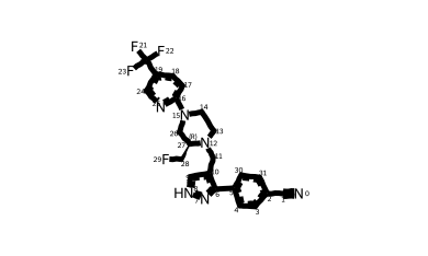 N#Cc1ccc(-c2n[nH]cc2CN2CCN(c3ccc(C(F)(F)F)cn3)C[C@@H]2CF)cc1